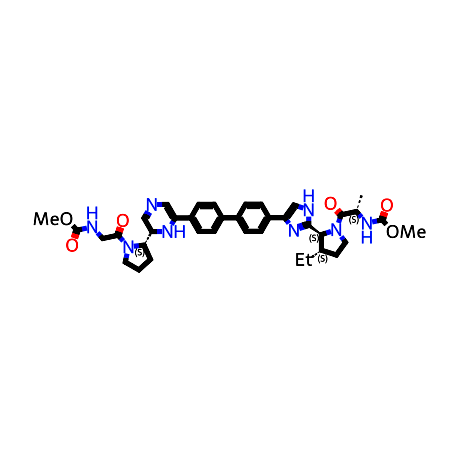 CC[C@H]1CCN(C(=O)[C@H](C)NC(=O)OC)[C@@H]1c1nc(-c2ccc(-c3ccc(C4=CN=CC([C@@H]5CCCN5C(=O)CNC(=O)OC)N4)cc3)cc2)c[nH]1